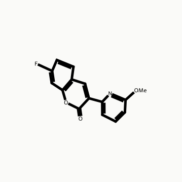 COc1cccc(-c2cc3ccc(F)cc3oc2=O)n1